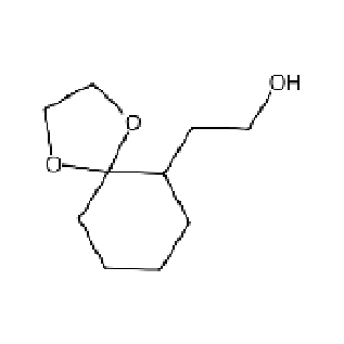 OCCC1CCCCC12OCCO2